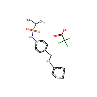 CC(C)S(=O)(=O)Nc1ccc(CNc2ccccc2)cc1.O=C(O)C(F)(F)F